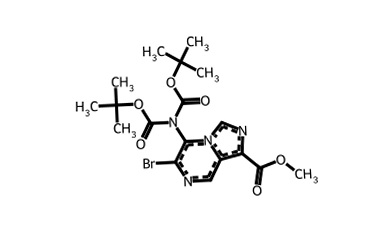 COC(=O)c1ncn2c(N(C(=O)OC(C)(C)C)C(=O)OC(C)(C)C)c(Br)ncc12